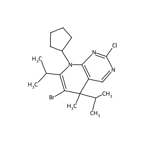 CC(C)C1=C(Br)C(C)(C(C)C)c2cnc(Cl)nc2N1C1CCCC1